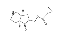 O=C(OCN1C[C@@H]2CNCC[C@]2(F)C1=O)C1CC1